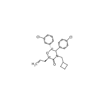 C=CC[C@H]1O[C@H](c2cccc(Cl)c2)C(c2ccc(Cl)cc2)N(CC2CCC2)C1=O